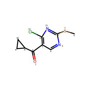 CSc1ncc(C(=O)C2CC2)c(Cl)n1